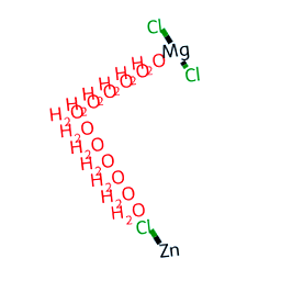 O.O.O.O.O.O.O.O.O.O.O.O.[Cl][Mg][Cl].[Cl][Zn]